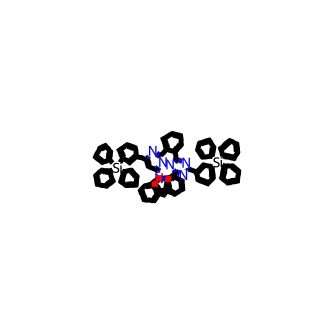 c1ccc(-c2nc(-c3cccc([Si](c4ccccc4)(c4ccccc4)c4ccccc4)c3)nc(-c3ccccc3-c3nc(-c4cccc([Si](c5ccccc5)(c5ccccc5)c5ccccc5)c4)cc(-n4c5ccccc5c5ccccc54)n3)n2)cc1